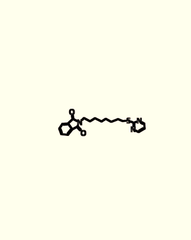 O=C1c2ccccc2C(=O)N1CCCCCCCCSc1ncccn1